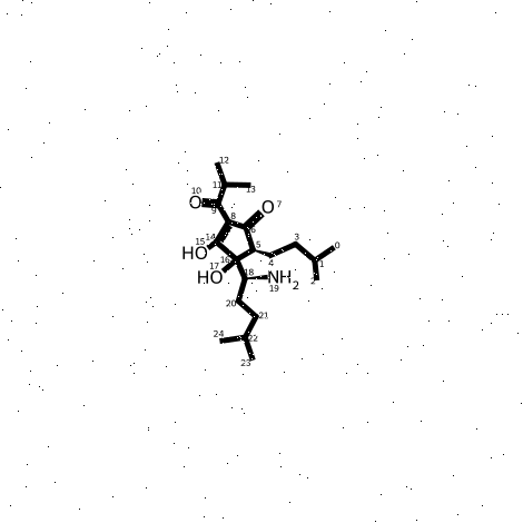 CC(C)CC[C@@H]1C(=O)C(C(=O)C(C)C)=C(O)C1(O)[C@@H](N)CCC(C)C